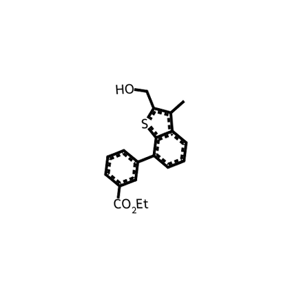 CCOC(=O)c1cccc(-c2cccc3c(C)c(CO)sc23)c1